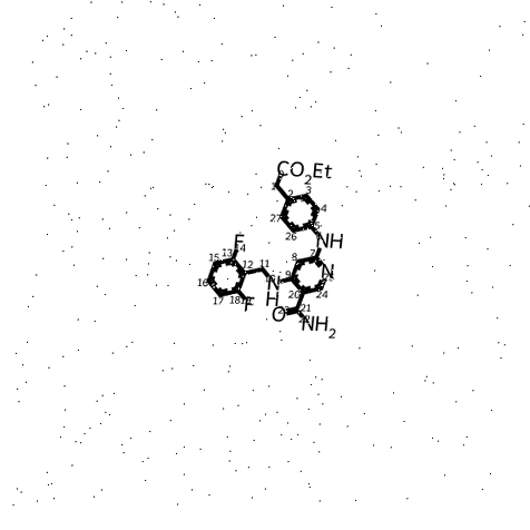 CCOC(=O)Cc1ccc(Nc2cc(NCc3c(F)cccc3F)c(C(N)=O)cn2)cc1